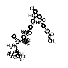 CCOC(=O)C1CCN(c2ccc(NC(=O)c3ccc(-c4ccc(Cl)cc4)c([C@H](O)C4CCN(c5ccc(C(=O)NS(=O)(=O)c6ccc(N[C@H](CCN(C)CCO[Si](C)(C)C(C)(C)C)CSc7ccccc7)c(S(=O)(=O)C(F)(F)F)c6)cc5)CC4)c3)cc2)CC1